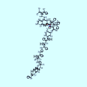 CC[C@@]1(OC(=O)OCc2ccc(NC(=O)CNC(=O)COCC(=O)NC(C)(C)COC(C)(C)Cn3cc(CNC=O)nn3)cc2)C(=O)OCC(C)=C1/C=C1/c2nc3ccccc3c(CCN(C(C)=O)C(C)C)c2CN1C=O